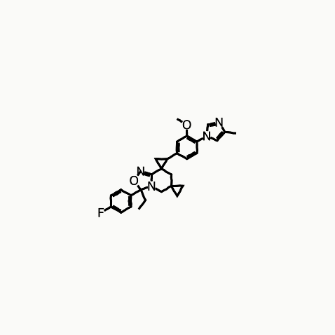 CCC1(c2ccc(F)cc2)ON=C2N1CC1(CC1)CC21CC1c1ccc(-n2cnc(C)c2)c(OC)c1